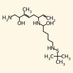 C=CC(C/C=C(\C)C(O)CN)NC(O)CCCCNSC(C)(C)C